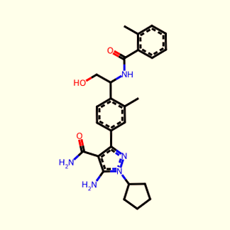 Cc1ccccc1C(=O)NC(CO)c1ccc(-c2nn(C3CCCC3)c(N)c2C(N)=O)cc1C